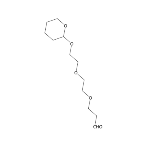 O=CCCOCCOCCOC1CCCCO1